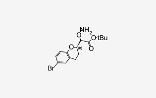 CC(C)(C)OC(=O)C(ON)[C@H]1CCc2cc(Br)ccc2O1